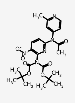 CC(=O)N(c1ccnc(C)c1)c1ccc([N+](=O)[O-])c(N(C(=O)OC(C)(C)C)C(=O)OC(C)(C)C)n1